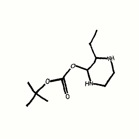 CCC1NCCNC1OC(=O)OC(C)(C)C